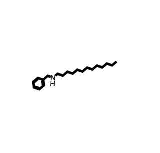 CCCCCCCCCCCCCNCc1ccccc1